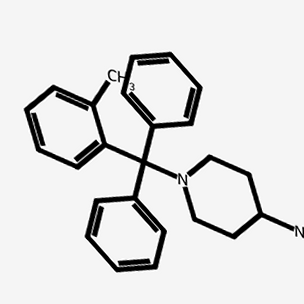 Cc1ccccc1C(c1ccccc1)(c1ccccc1)N1CCC(N)CC1